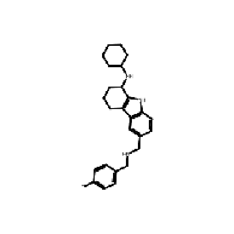 Fc1ccc(CNCc2ccc3[nH]c4c(c3c2)CCCC4NC2CCCCC2)cc1